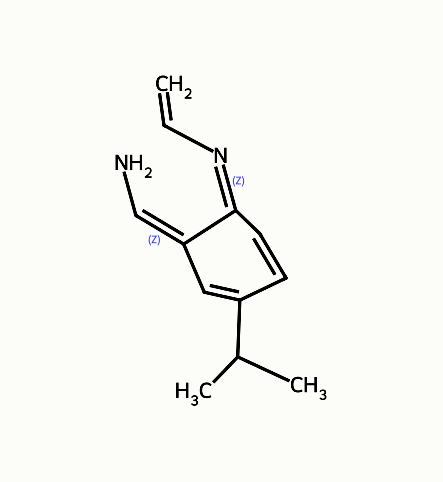 C=C/N=C1/C=CC(C(C)C)=C/C1=C/N